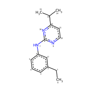 CCc1cccc(Nc2nccc(C(C)C)n2)c1